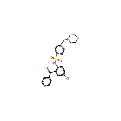 O=C(c1ccccc1)c1cc(Cl)ccc1NS(=O)(=O)c1ccc(CN2CCOCC2)cc1